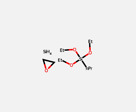 C1CO1.CCC[Si](OCC)(OCC)OCC.[SiH4]